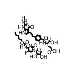 CCCCCOC(=O)Nc1nc(=O)n([C@@H]2O[C@H](C)[C@@H](O)[C@H]2O)cc1F.Nc1nc(=O)c2c(CCc3ccc(C(=O)N[C@@H](CCC(=O)O)C(=O)O)cc3)c[nH]c2[nH]1